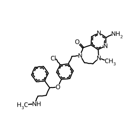 CNCCC(Oc1ccc(CN2CCN(C)c3nc(N)ncc3C2=O)c(Cl)c1)c1ccccc1